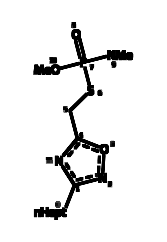 CCCCCCCc1noc(CSP(=O)(NC)OC)n1